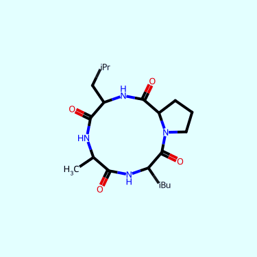 CCC(C)C1NC(=O)C(C)NC(=O)C(CC(C)C)NC(=O)C2CCCN2C1=O